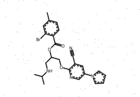 Cc1ccc(C(=O)OC(CNC(C)C)COc2ncc(-n3cccc3)cc2C#N)c(Br)c1